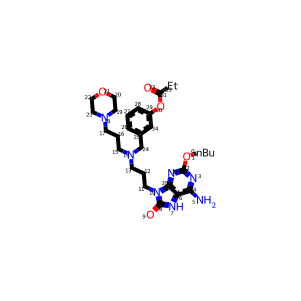 CCCCOc1nc(N)c2[nH]c(=O)n(CCCN(CCCN3CCOCC3)Cc3cccc(OC(=O)CC)c3)c2n1